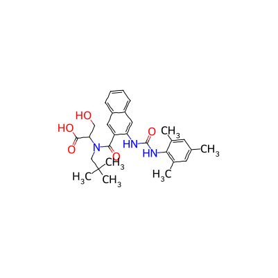 Cc1cc(C)c(NC(=O)Nc2cc3ccccc3cc2C(=O)N(CC(C)(C)C)C(CO)C(=O)O)c(C)c1